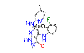 COc1c(F)cccc1Nc1cc(Nc2cc(C)ccn2)nc2[nH]n(C)c(=O)c12